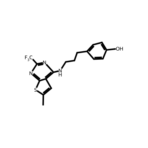 Cc1cc2c(NCCCc3ccc(O)cc3)nc(C(F)(F)F)nc2s1